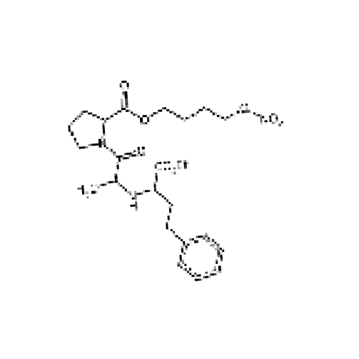 CCOC(=O)C(CCc1ccccc1)NC(C)C(=O)N1CCCC1C(=O)OCCCCO[N+](=O)[O-]